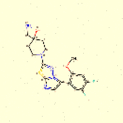 COc1cc(F)c(F)cc1-c1cnc2sc(N3CCC(O)(CN)CC3)nn12